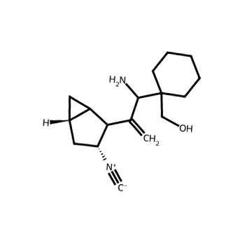 [C-]#[N+][C@@H]1C[C@@H]2CC2C1C(=C)C(N)C1(CO)CCCCC1